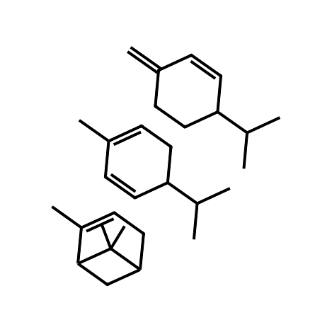 C=C1C=CC(C(C)C)CC1.CC1=CCC(C(C)C)C=C1.CC1=CCC2CC1C2(C)C